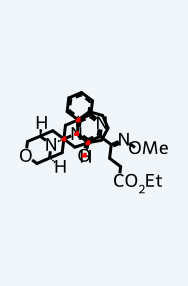 CCOC(=O)CCC(=NOC)c1nc2ccccc2n(C2C[C@H]3COC[C@H](C2)N3[C@@H]2CC3CCCC[C@H](C3)C2)c1=O